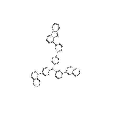 c1cc(-c2ccc(N(c3ccc(-c4cccc5ccccc45)cc3)c3cccc(-c4ccc5ccccc5c4)c3)cc2)cc(-c2cccc3c2sc2ccccc23)c1